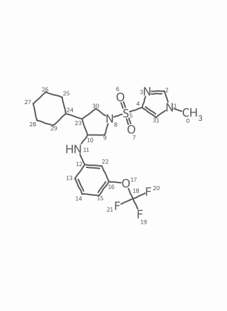 Cn1cnc(S(=O)(=O)N2CC(Nc3cccc(OC(F)(F)F)c3)C(C3CCCCC3)C2)c1